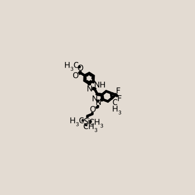 COC(=O)c1ccc2[nH]c(-c3nn(COCC[Si](C)(C)C)c4c3CC3C(F)(F)C3(C)C4)nc2c1